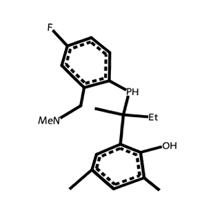 CCC(C)(Pc1ccc(F)cc1CNC)c1cc(C)cc(C)c1O